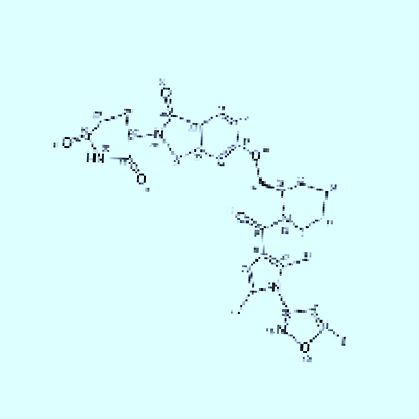 Cc1cc(-n2c(C)cc(C(=O)N3CCCC[C@@H]3COc3ccc4c(c3)CN(C3CCC(=O)NC3=O)C4=O)c2C)no1